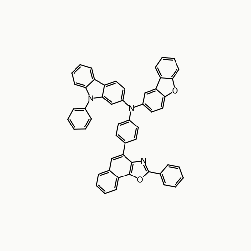 c1ccc(-c2nc3c(-c4ccc(N(c5ccc6oc7ccccc7c6c5)c5ccc6c7ccccc7n(-c7ccccc7)c6c5)cc4)cc4ccccc4c3o2)cc1